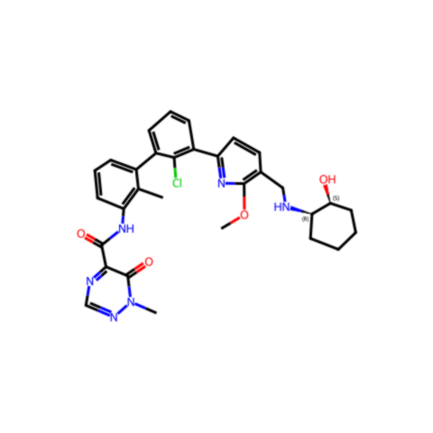 COc1nc(-c2cccc(-c3cccc(NC(=O)c4ncnn(C)c4=O)c3C)c2Cl)ccc1CN[C@@H]1CCCC[C@@H]1O